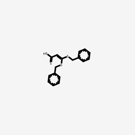 S=C(S)C=C(SCc1ccccc1)SCc1ccccc1